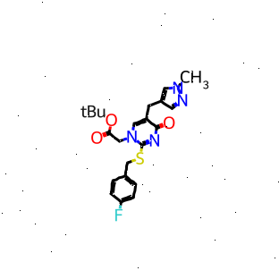 Cn1cc(Cc2cn(CC(=O)OC(C)(C)C)c(SCc3ccc(F)cc3)nc2=O)cn1